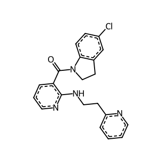 O=C(c1cccnc1NCCc1ccccn1)N1CCc2cc(Cl)ccc21